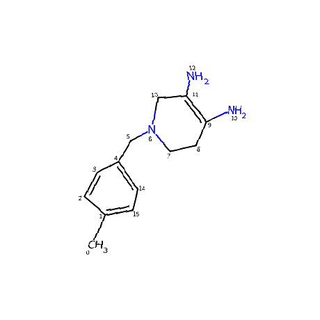 Cc1ccc(CN2CCC(N)=C(N)C2)cc1